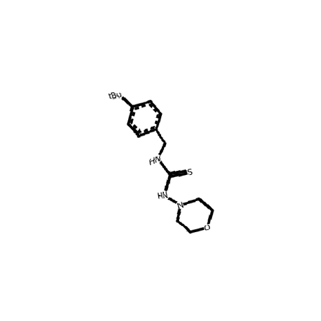 CC(C)(C)c1ccc(CNC(=S)NN2CCOCC2)cc1